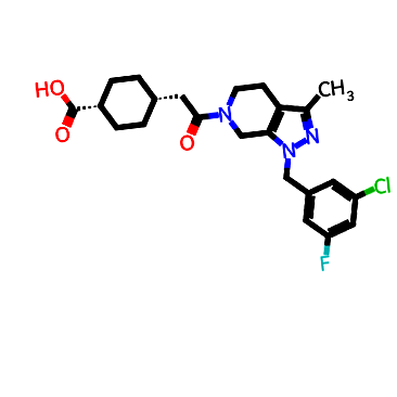 Cc1nn(Cc2cc(F)cc(Cl)c2)c2c1CCN(C(=O)C[C@H]1CC[C@@H](C(=O)O)CC1)C2